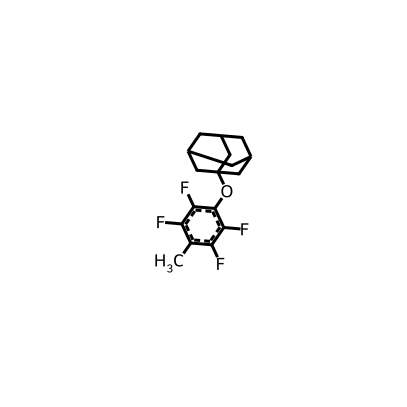 Cc1c(F)c(F)c(OC23CC4CC(CC(C4)C2)C3)c(F)c1F